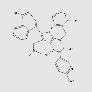 COc1ccc(-n2c(=O)c3c(CN(C)C)c(-c4ccc(C#N)c5ncccc45)sc3n(Cc3c(F)cccc3F)c2=O)cn1